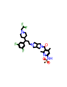 Cc1cc(NS(C)(=O)=O)nc(C)c1C(=O)N1CC2CN(CCC(c3cc(F)cc(F)c3)C3CCN(CC(F)F)CC3)CC2C1